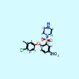 Cc1cc(Oc2ccc([N+](=O)[O-])cc2S(=O)(=O)N2CCNCC2)ccc1Cl